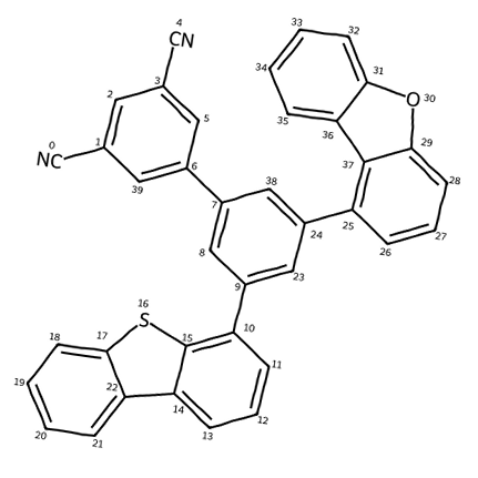 N#Cc1cc(C#N)cc(-c2cc(-c3cccc4c3sc3ccccc34)cc(-c3cccc4oc5ccccc5c34)c2)c1